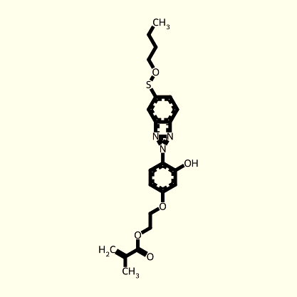 C=C(C)C(=O)OCCOc1ccc(-n2n3c4ccc(SOCCCC)cc4n23)c(O)c1